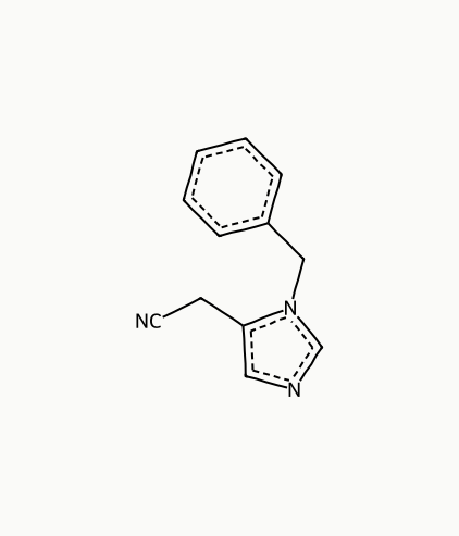 N#CCc1cncn1Cc1ccccc1